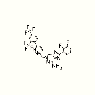 Nc1nn(Cc2ccc(-c3ccc(C(F)(F)F)cc3C(F)(F)F)nn2)cc2nc(-c3cccc(F)c3F)nc1-2